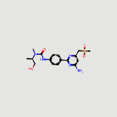 CC(CO)N(C)C(=O)Nc1ccc(-c2nc(N)cc(CS(C)(=O)=O)n2)cc1